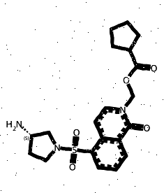 N[C@H]1CCN(S(=O)(=O)c2cccc3c(=O)n(COC(=O)C4CCCC4)ccc23)C1